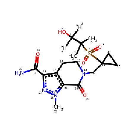 [2H]C([2H])(O)C(C)(C)S(=O)(=O)C1(CN2CCc3c(C(N)=O)nn(C)c3C2=O)CC1